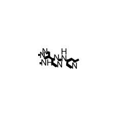 CNc1c(-c2ccnc(Nc3ccnc(C)c3)n2)cnn1C